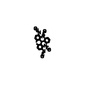 Cc1ccc(N=C=O)c(N=C=O)c1C(c1ccccc1)c1c(C)ccc(N=C=O)c1N=C=O